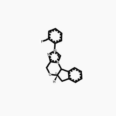 Fc1ccccc1-[n+]1cn2c(n1)CO[C@H]1Cc3ccccc3C12